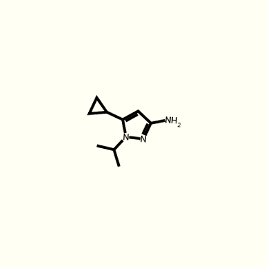 CC(C)n1nc(N)cc1C1CC1